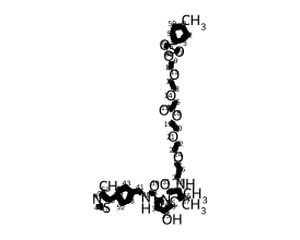 Cc1ccc(S(=O)(=O)OCCOCCOCC(=O)OCCOCCOCCCN[C@H](C(=O)N2C[C@H](O)C[C@H]2C(=O)NCc2ccc(-c3scnc3C)cc2)C(C)(C)C)cc1